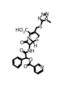 Cn1nnnc1SCC1=C(C(=O)O)N2C(=O)C(NC(=O)C(OC(=O)c3cccnc3)c3ccccc3)[C@H]2SC1